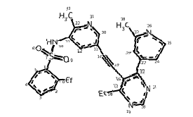 CCc1ccccc1S(=O)(=O)Nc1cc(C#Cc2c(CC)ncnc2-c2ccnc(C)c2)cnc1C